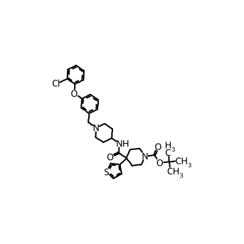 CC(C)(C)OC(=O)N1CCC(C(=O)NC2CCN(Cc3cccc(Oc4ccccc4Cl)c3)CC2)(c2ccsc2)CC1